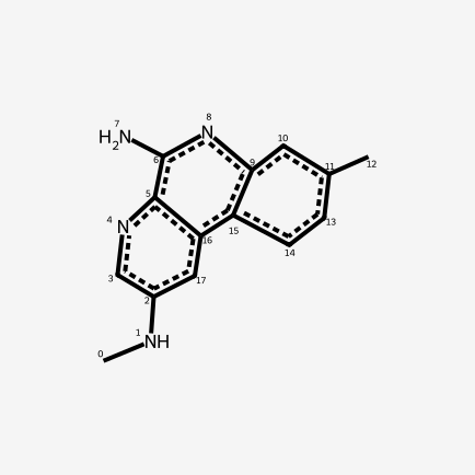 CNc1cnc2c(N)nc3cc(C)ccc3c2c1